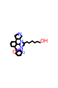 NC(=O)c1cccc(-c2ccncc2)c1-c1nc(CCCCCCO)cn1-c1ccccc1